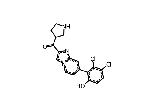 O=C(c1cn2ccc(-c3c(O)ccc(Cl)c3Cl)cc2n1)C1CCNC1